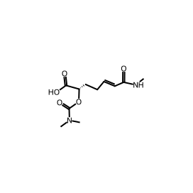 CNC(=O)/C=C/CC[C@H](OC(=O)N(C)C)C(=O)O